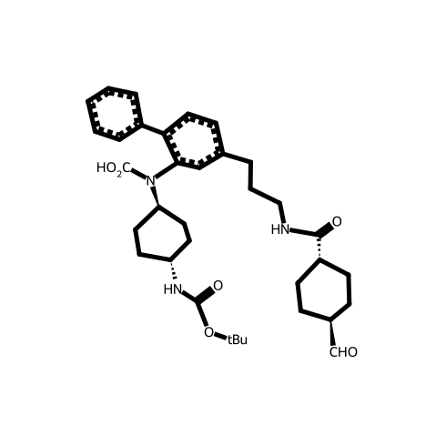 CC(C)(C)OC(=O)N[C@H]1CC[C@H](N(C(=O)O)c2cc(CCCNC(=O)[C@H]3CC[C@H](C=O)CC3)ccc2-c2ccccc2)CC1